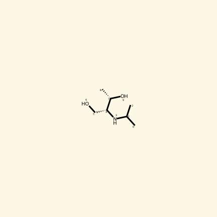 CC(C)N[C@H](CO)[C@H](C)O